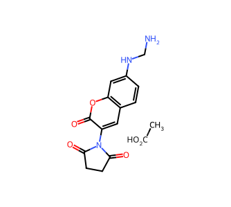 CC(=O)O.NCNc1ccc2cc(N3C(=O)CCC3=O)c(=O)oc2c1